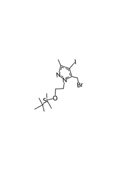 Cc1nn(CCO[Si](C)(C)C(C)(C)C)c(CBr)c1I